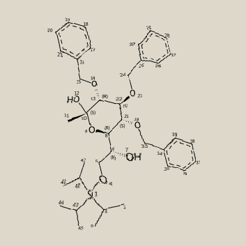 CC(C)[Si](OC[C@@H](O)[C@H]1O[C@](C)(O)[C@H](OCc2ccccc2)[C@@H](OCc2ccccc2)[C@@H]1OCc1ccccc1)(C(C)C)C(C)C